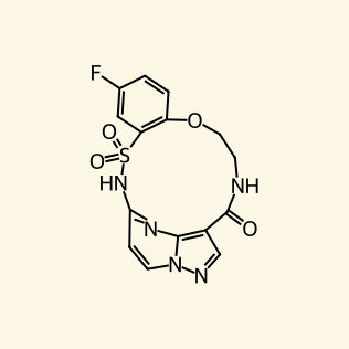 O=C1NCCOc2ccc(F)cc2S(=O)(=O)Nc2ccn3ncc1c3n2